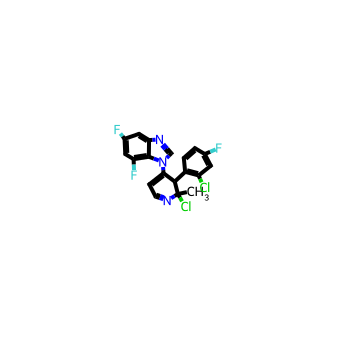 CC1(Cl)N=CC=C(n2cnc3cc(F)cc(F)c32)C1c1ccc(F)cc1Cl